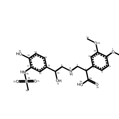 COc1ccc(C(CNCC(O)c2ccc(O)c(NS(C)(=O)=O)c2)C(=O)O)cc1OC